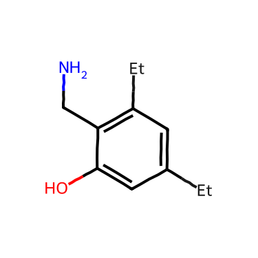 CCc1cc(O)c(CN)c(CC)c1